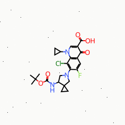 CC(C)(C)OC(=O)NC1CN(c2c(F)cc3c(=O)c(C(=O)O)cn(C4CC4)c3c2Cl)CC12CC2